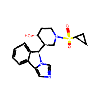 O=S(=O)(C1CC1)N1CC[C@@H](O)[C@H]([C@@H]2c3ccccc3-c3cncn32)C1